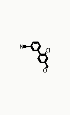 N#Cc1cccc(-c2ccc(C=O)cc2Cl)c1